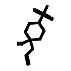 C=CCC1(O)CCC(S(C)(=O)=O)CC1